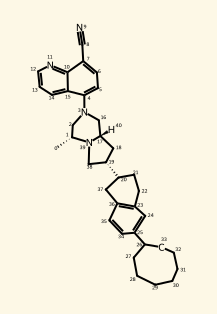 C[C@@H]1CN(c2ccc(C#N)c3ncccc23)C[C@@H]2C[C@H](C3CCc4cc(C5CCCCCCC5)ccc4C3)CN21